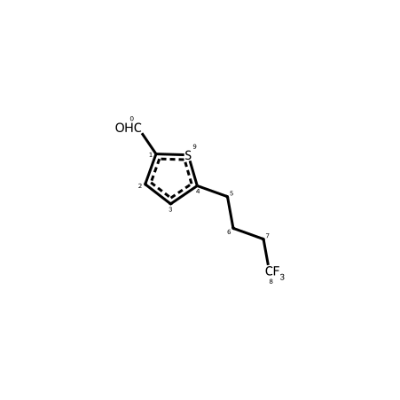 O=Cc1ccc(CCCC(F)(F)F)s1